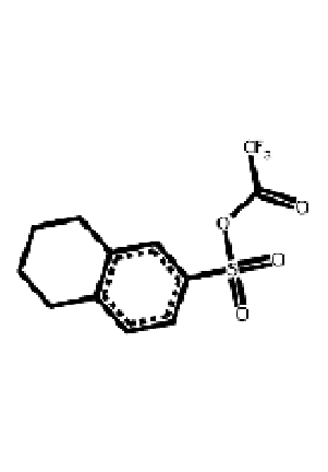 O=C(OS(=O)(=O)c1ccc2c(c1)CCCC2)C(F)(F)F